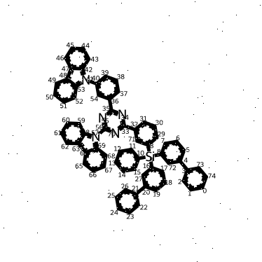 c1ccc(-c2cccc([Si](c3ccccc3)(c3cccc(-c4ccccc4)c3)c3cccc(-c4nc(-c5cccc(-n6c7ccccc7c7ccccc76)c5)nc(-n5c6ccccc6c6ccccc65)n4)c3)c2)cc1